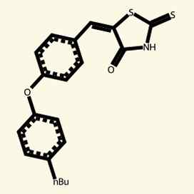 CCCCc1ccc(Oc2ccc(C=C3SC(=S)NC3=O)cc2)cc1